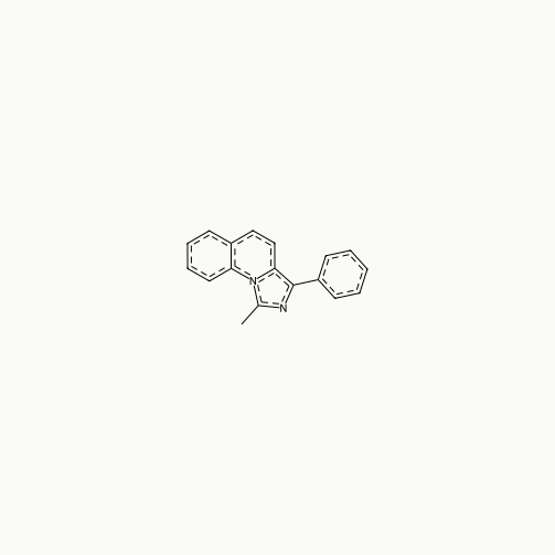 Cc1nc(-c2ccccc2)c2ccc3ccccc3n12